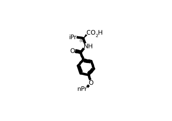 CCCOc1ccc(C(=O)N[C@H](C(=O)O)C(C)C)cc1